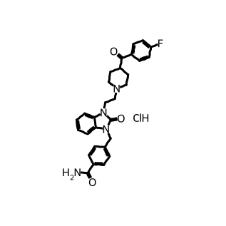 Cl.NC(=O)c1ccc(Cn2c(=O)n(CCN3CCC(C(=O)c4ccc(F)cc4)CC3)c3ccccc32)cc1